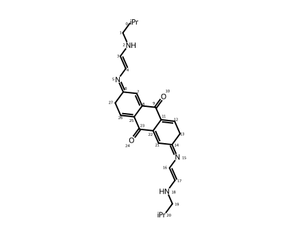 CC(C)CNC=CN=C1C=C2C(=O)C3=CCC(=NC=CNCC(C)C)C=C3C(=O)C2=CC1